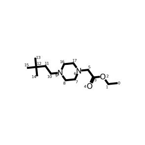 CCOC(=O)CN1CCN(CCC(C)(C)C)CC1